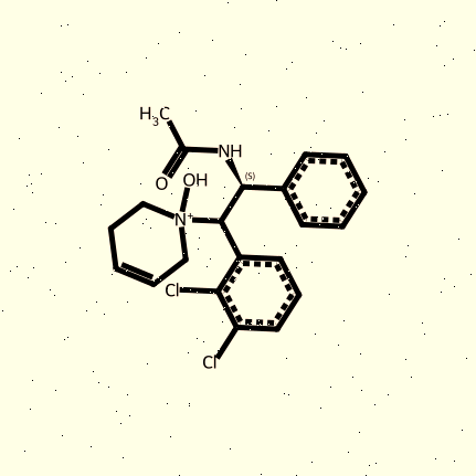 CC(=O)N[C@@H](c1ccccc1)C(c1cccc(Cl)c1Cl)[N+]1(O)CC=CCC1